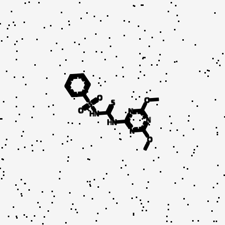 COc1nc(NC(=S)NS(=O)(=O)c2ccccc2)nc(OC)n1